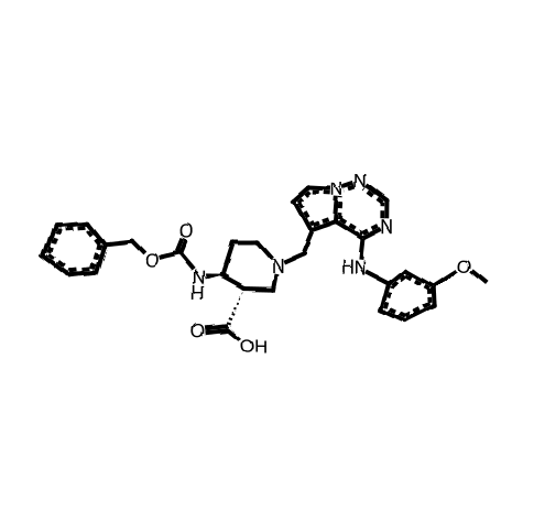 COc1cccc(Nc2ncnn3ccc(CN4CC[C@H](NC(=O)OCc5ccccc5)[C@@H](C(=O)O)C4)c23)c1